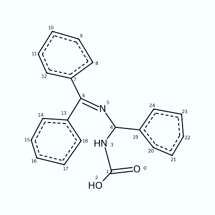 O=C(O)NC(N=C(c1ccccc1)c1ccccc1)c1ccccc1